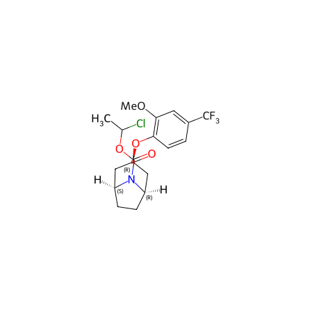 COc1cc(C(F)(F)F)ccc1O[C@H]1C[C@H]2CC[C@@H](C1)N2C(=O)OC(C)Cl